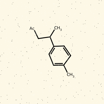 CC(=O)CC(C)c1ccc(C)cc1